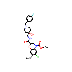 COc1cc2c(cc1Cl)N(C(=O)OC(C)(C)C)CC(C(=O)NCC1(O)CCN(Cc3ccc(F)cc3)CC1)O2